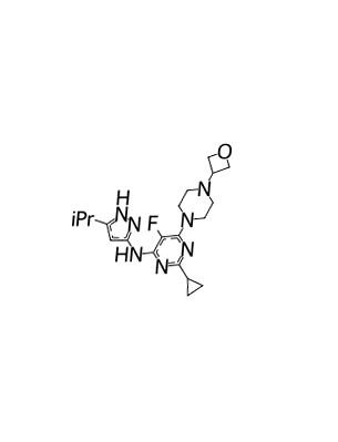 CC(C)c1cc(Nc2nc(C3CC3)nc(N3CCN(C4COC4)CC3)c2F)n[nH]1